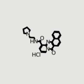 Cl.O=C(NCCN1CCCC1)c1cccn2c(=O)c3ccc4ccccc4c3nc12